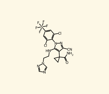 N#Cc1nn(-c2c(Cl)cc(S(F)(F)(F)(F)F)cc2Cl)c(NCCn2cncn2)c1C1(C(N)=O)CC1